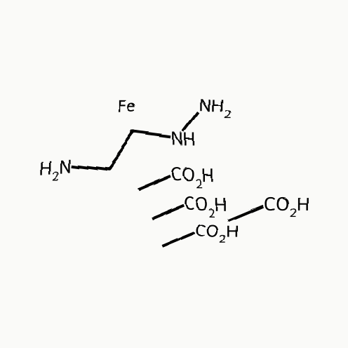 CC(=O)O.CC(=O)O.CC(=O)O.CC(=O)O.NCCNN.[Fe]